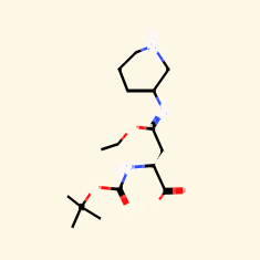 CCOC(C[C@H](NC(=O)OC(C)(C)C)C(=O)O)=NC1CCCNC1